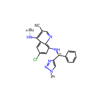 CC[C@@H](C)Nc1c(C#N)cnc2c(N[C@@H](c3ccccc3)c3cn(C(C)C)nn3)cc(Cl)cc12